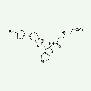 COCCNCCC(=O)Nc1sc2c(c1-c1nc3ccc(-c4ccc(O)nc4)cc3s1)CCNC2